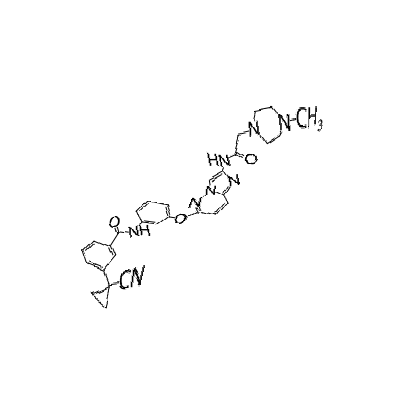 CN1CCN(CC(=O)Nc2cn3nc(Oc4cccc(NC(=O)c5cccc(C6(C#N)CC6)c5)c4)ccc3n2)CC1